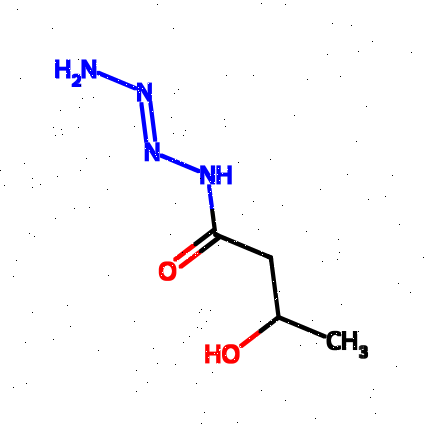 CC(O)CC(=O)NN=NN